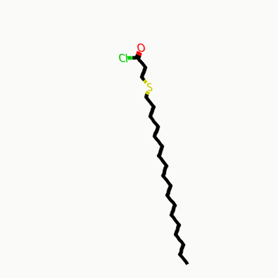 CCCCCCCCCCCCCCCCCCSCCC(=O)Cl